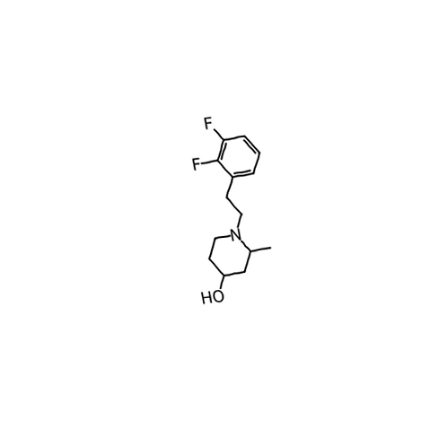 CC1CC(O)CCN1CCc1cccc(F)c1F